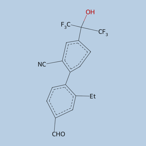 CCc1cc(C=O)ccc1-c1ccc(C(O)(C(F)(F)F)C(F)(F)F)cc1C#N